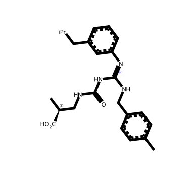 Cc1ccc(CN/C(=N/c2cccc(CC(C)C)c2)NC(=O)NC[C@H](C)C(=O)O)cc1